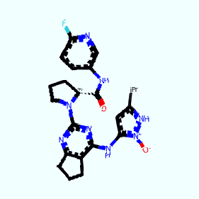 CC(C)c1cc(Nc2nc(N3CCC[C@@H]3C(=O)Nc3ccc(F)nc3)nc3c2CCC3)[n+]([O-])[nH]1